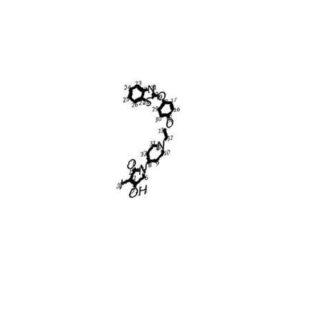 O=C1C(I)C(O)CN1C1CCN(CCOc2ccc(Oc3nc4ccccc4s3)cc2)CC1